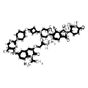 CNC(=O)COc1cc2cc(Nc3nc(N4CCC(OC5CC(N6CCN(c7ccc8c(c7F)[C@H](C)N([C@@H]7CCC(=O)NC7=O)C8=O)[C@H](C)C6)C5)CC4)ncc3Cl)ccc2n(C(C)C)c1=O